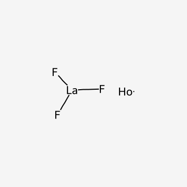 [F][La]([F])[F].[Ho]